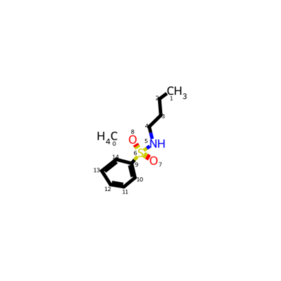 C.CCCCNS(=O)(=O)c1ccccc1